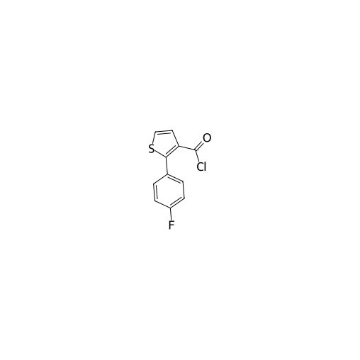 O=C(Cl)c1ccsc1-c1ccc(F)cc1